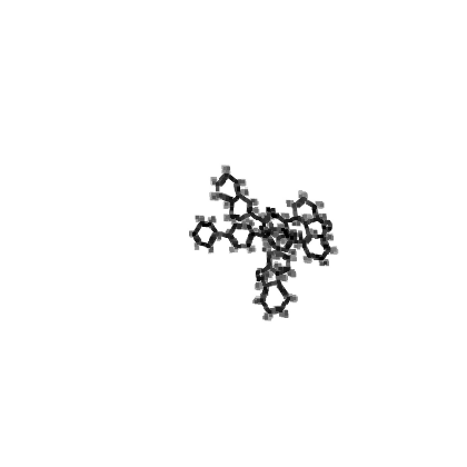 c1ccc(-c2ccc(-c3ccc(-c4cccc5oc6cccc(C7N=C(c8ccc9ccccc9c8)N=C(c8ccc9c(c8)oc8ccccc89)N7)c6c45)cc3)cc2)cc1